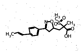 CC=Cc1ccc(C2=NOC(CC(C)(C(=O)O)S(C)(=O)=O)C2)cc1